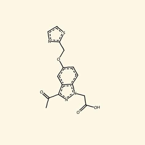 CC(=O)c1nn(CC(=O)O)c2ccc(OCc3nccs3)cc12